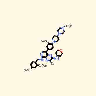 CCc1nc2c(NCc3ccc(OC)cc3OC)ncc(-c3ccc(N4CCC(N5CCN(C(=O)O)CC5)CC4)c(OC)c3)c2nc1NC1CCOCC1